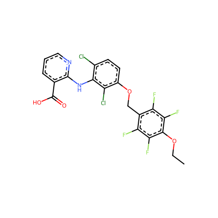 CCOc1c(F)c(F)c(COc2ccc(Cl)c(Nc3ncccc3C(=O)O)c2Cl)c(F)c1F